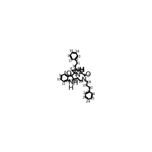 O=C1[C@@H]2CC3OC45c6ccccc6N[C@@H]4C(CN1CCCc1ccccc1)N2C35NCCc1ccccc1